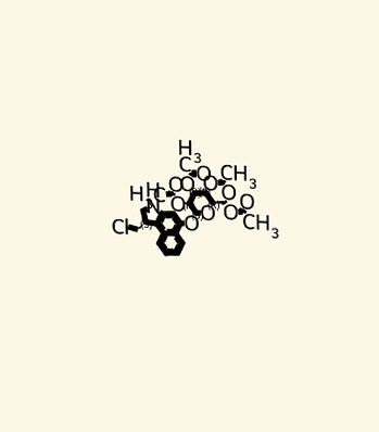 CC(=O)OC[C@H]1O[C@@H](Oc2cc3c(c4ccccc24)[C@H](CCl)CN3)[C@H](OC(C)=O)[C@H](OC(C)=O)[C@H]1OC(C)=O